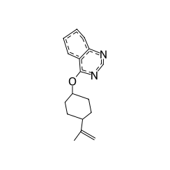 C=C(C)C1CCC(Oc2ncnc3ccccc23)CC1